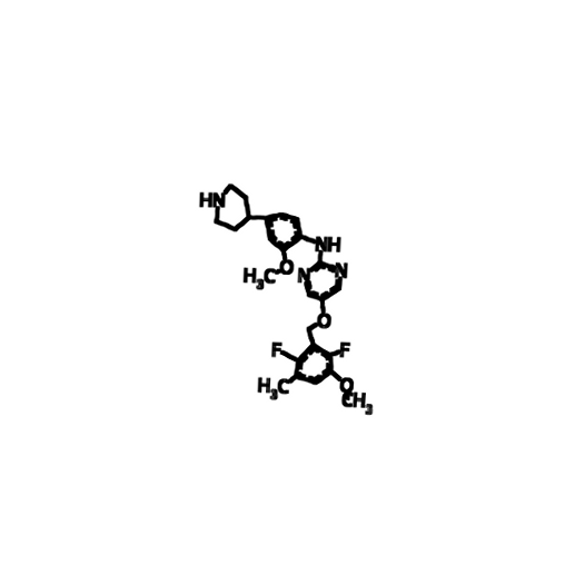 COc1cc(C2CCNCC2)ccc1Nc1ncc(OCc2c(F)c(C)cc(OC)c2F)cn1